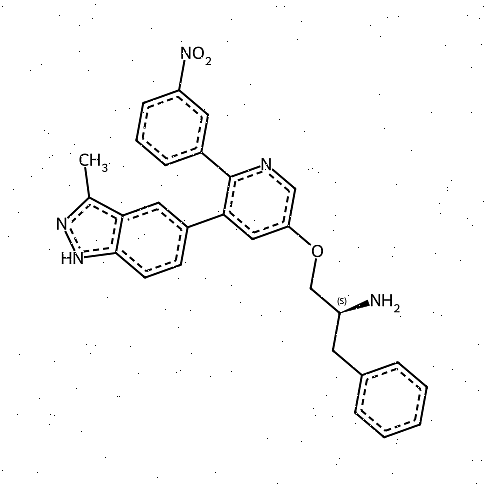 Cc1n[nH]c2ccc(-c3cc(OC[C@@H](N)Cc4ccccc4)cnc3-c3cccc([N+](=O)[O-])c3)cc12